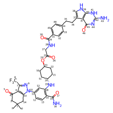 CC1(C)CC(=O)c2c(C(F)(F)F)nn(-c3ccc(C(N)=O)c(N[C@H]4CC[C@H](OC(=O)CNC(=O)c5ccc(CCc6c[nH]c7[nH]c(N)nc(=O)c67)cc5)CC4)c3)c2C1